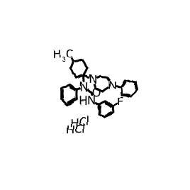 CC1CCC(N2CCN(c3ccccc3)CC2)(N(C(=O)Nc2cccc(F)c2)c2ccccc2)CC1.Cl.Cl